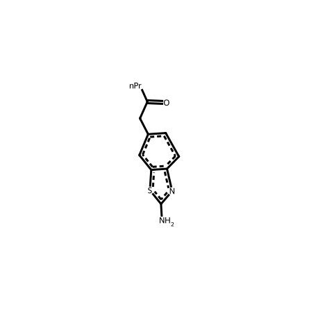 CCCC(=O)Cc1ccc2nc(N)sc2c1